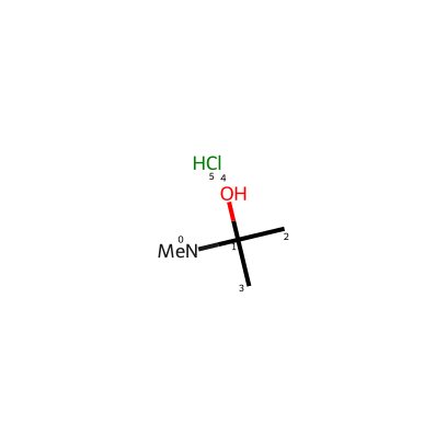 CNC(C)(C)O.Cl